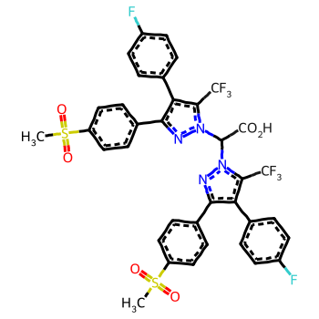 CS(=O)(=O)c1ccc(-c2nn(C(C(=O)O)n3nc(-c4ccc(S(C)(=O)=O)cc4)c(-c4ccc(F)cc4)c3C(F)(F)F)c(C(F)(F)F)c2-c2ccc(F)cc2)cc1